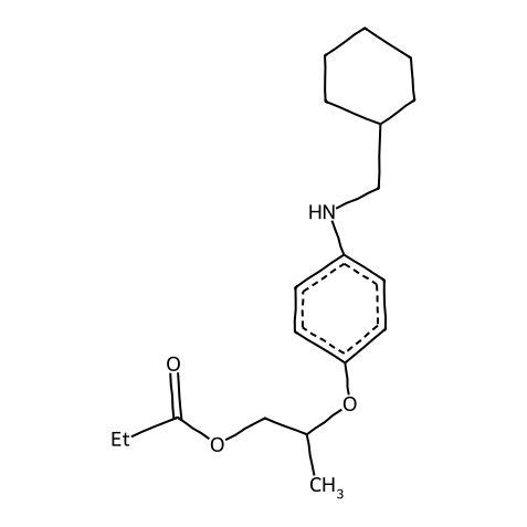 CCC(=O)OCC(C)Oc1ccc(NCC2CCCCC2)cc1